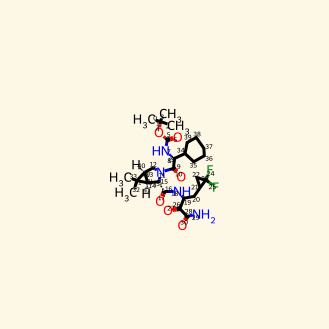 CC(C)(C)OC(=O)N[C@H](C(=O)N1C[C@H]2[C@@H]([C@H]1C(=O)NC(CC1CC1(F)F)C(=O)C(N)=O)C2(C)C)C1CCCCC1